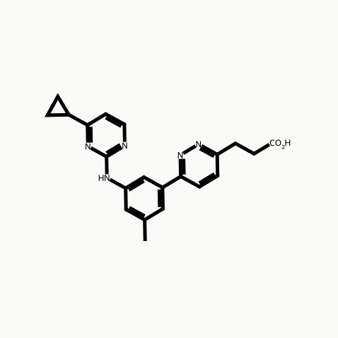 Cc1cc(Nc2nccc(C3CC3)n2)cc(-c2ccc(CCC(=O)O)nn2)c1